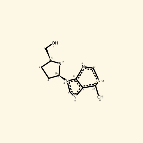 OC[C@@H]1CC[C@H](n2cnc3c(O)ncnc32)S1